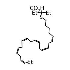 CC/C=C\C/C=C\C/C=C\C/C=C\C/C=C\C/C=C\CCCCSC(CC)(CC)C(=O)O